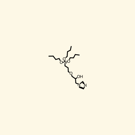 CCCCO[Si](CCCOCC(O)Cn1ccnc1)(OCCCC)OCCCC